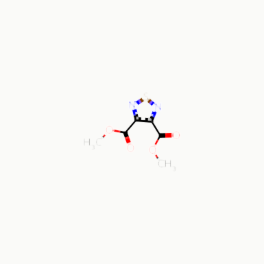 COC(=O)c1nsnc1C(=O)OC